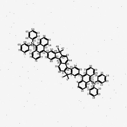 CC1(C)c2cc(-c3c4ccccc4c(N(c4ccccc4)c4ccccc4)c4ccccc34)ccc2-c2c1ccc1c3c(ccc21)C(C)(C)c1cc(-c2c4ccccc4c(N(c4ccccc4)c4ccccc4)c4ccccc24)ccc1-3